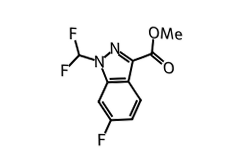 COC(=O)c1nn(C(F)F)c2cc(F)ccc12